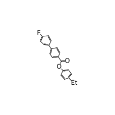 CCc1ccc(OC(=O)c2ccc(-c3ccc(F)cc3)cc2)cc1